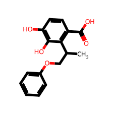 CC(COc1ccccc1)c1c(C(=O)O)ccc(O)c1O